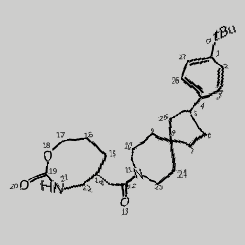 CC(C)(C)c1ccc(C2CCC3(CCN(C(=O)[C@@H]4CCCOC(=O)NC4)CC3)C2)cc1